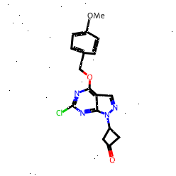 COc1ccc(COc2nc(Cl)nc3c2cnn3C2CC(=O)C2)cc1